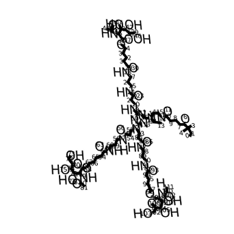 CCC(C)(C)C(=O)CCCC(=O)N1CCN(c2nc(NCCC(=O)NCCCNC(=O)CCCCOC3OC(CO)C(O)C(O)C3NC(C)=O)nc(N(CCC(=O)NCCCNC(=O)CCCCOC3OC(CO)C(O)C(O)C3NC(C)=O)CCC(=O)NCCCNC(=O)CCCCOC3OC(CO)C(O)C(O)C3NC(C)=O)n2)CC1